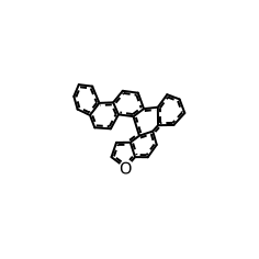 c1ccc2c(c1)ccc1c2ccc2c3ccccc3c3ccc4occc4c3c12